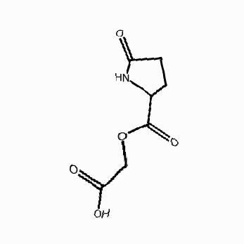 O=C(O)COC(=O)C1CCC(=O)N1